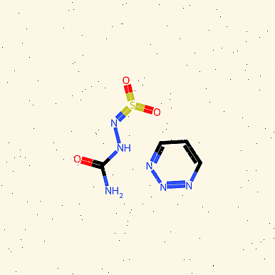 NC(=O)NN=S(=O)=O.c1cnnnc1